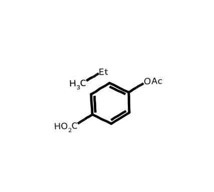 CC(=O)Oc1ccc(C(=O)O)cc1.CCC